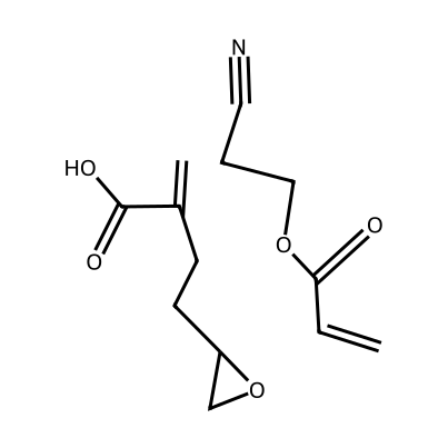 C=C(CCC1CO1)C(=O)O.C=CC(=O)OCCC#N